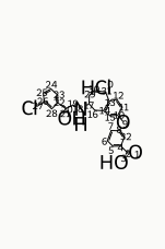 Cl.O=C(O)c1cccc(Oc2ccc3c(c2)C[C@@H](NC[C@H](O)c2cccc(Cl)c2)CCC3)c1